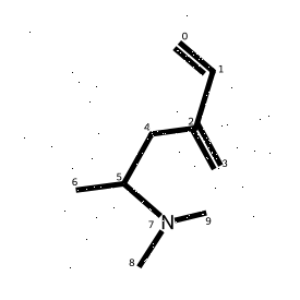 C=CC(=C)CC(C)N(C)C